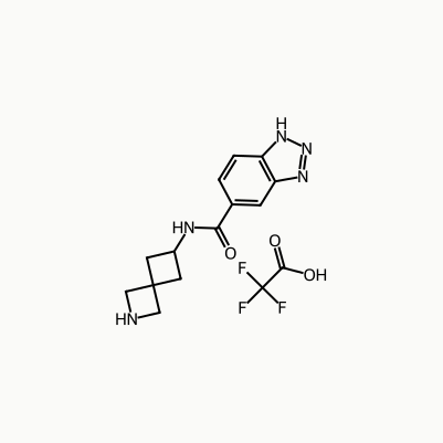 O=C(NC1CC2(CNC2)C1)c1ccc2[nH]nnc2c1.O=C(O)C(F)(F)F